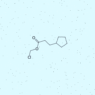 O=C(CCC1CCCC1)OCCl